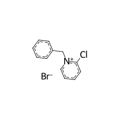 Clc1cccc[n+]1Cc1ccccc1.[Br-]